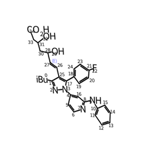 CCC(C)c1nn(-c2ccnc(Nc3ccccc3)c2)c(-c2ccc(F)cc2)c1/C=C/C(O)CC(O)CC(=O)O